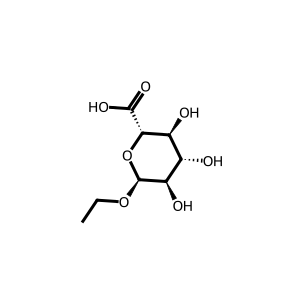 CCO[C@H]1O[C@H](C(=O)O)[C@@H](O)[C@H](O)[C@H]1O